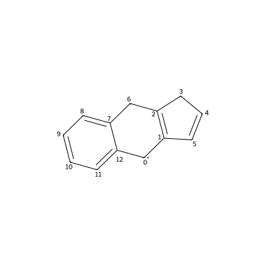 [CH]1C2=C(CC=C2)Cc2ccccc21